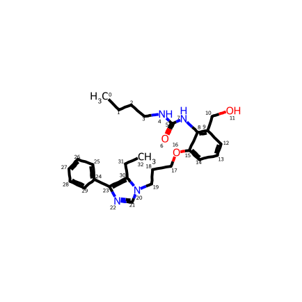 CCCCNC(=O)Nc1c(CO)cccc1OCCCn1cnc(-c2ccccc2)c1CC